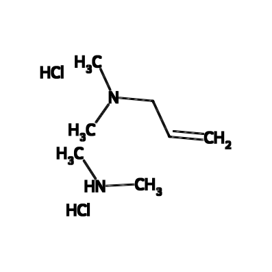 C=CCN(C)C.CNC.Cl.Cl